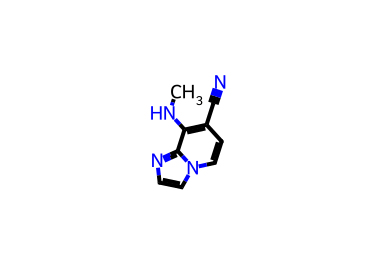 CNc1c(C#N)ccn2ccnc12